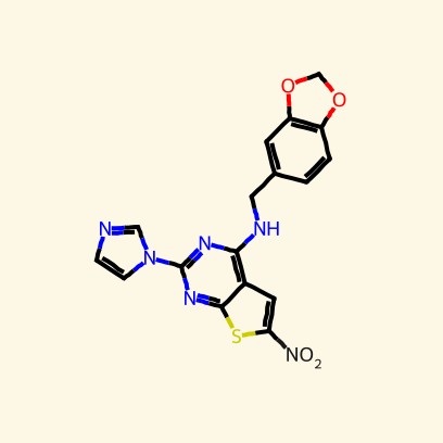 O=[N+]([O-])c1cc2c(NCc3ccc4c(c3)OCO4)nc(-n3ccnc3)nc2s1